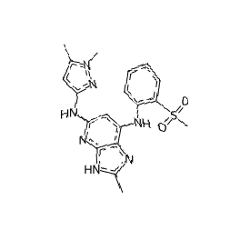 Cc1nc2c(Nc3ccccc3S(C)(=O)=O)cc(Nc3cc(C)n(C)n3)nc2[nH]1